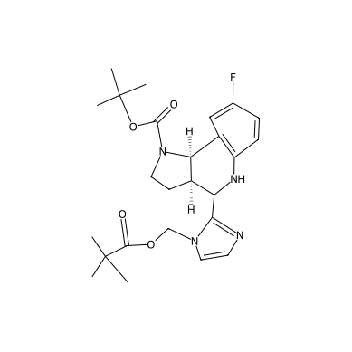 CC(C)(C)OC(=O)N1CC[C@@H]2C(c3nccn3COC(=O)C(C)(C)C)Nc3ccc(F)cc3[C@@H]21